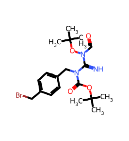 CC(C)(C)OC(=O)N(Cc1ccc(CBr)cc1)C(=N)N(C=O)OC(C)(C)C